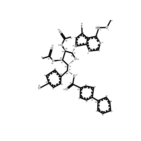 CONc1ncnc2c1c(F)cn2[C@@H]1O[C@H]([C@H](OC(=O)c2ccc(-c3ccccc3)cc2)c2ccc(Cl)cc2)[C@@H](OC(C)=O)[C@H]1OC(C)=O